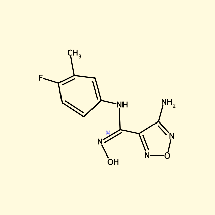 Cc1cc(N/C(=N/O)c2nonc2N)ccc1F